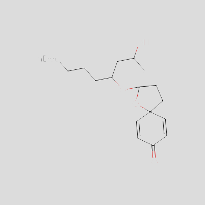 CCCCCCCCCCCCCC1CC(O)C[C@@]2(CCC3(C=CC(=O)C=C3)O2)O1